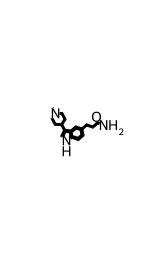 CN1CCC(c2c[nH]c3ccc(CCC(N)=O)cc23)CC1